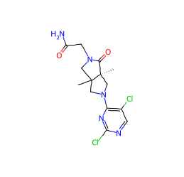 CC12CN(CC(N)=O)C(=O)[C@@]1(C)CN(c1nc(Cl)ncc1Cl)C2